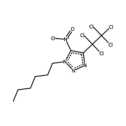 CCCCCCn1nnc(C(Cl)(Cl)C(Cl)(Cl)Cl)c1[N+](=O)[O-]